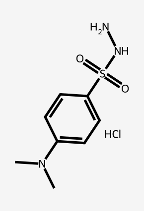 CN(C)c1ccc(S(=O)(=O)NN)cc1.Cl